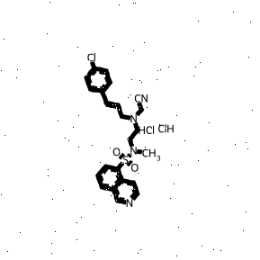 CN(CCN(CC#N)CC=Cc1ccc(Cl)cc1)S(=O)(=O)c1cccc2cnccc12.Cl.Cl